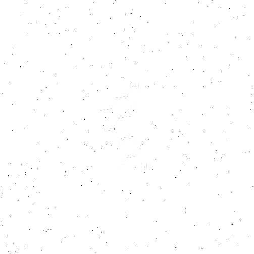 Cc1cc(C(=O)c2ccc(N)cc2C)ccc1N